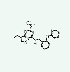 CC(C)c1cnn2c(NCc3ccccc3Oc3ccccn3)nc([S+](C)[O-])nc12